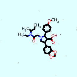 CCC(C)N(CC)C(=O)CN1CC(c2ccc3c(c2)OCO3)C(C(=O)O)C1c1ccc(OC)cc1